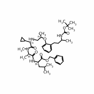 CC(C)C[C@@H](NC(=O)[C@@H](C)N(C)C(=O)[C@@H](NC[C@@H](C)Oc1ccccc1CCC(C)NC(=O)OC(C)(C)C)C1CC1)C(=O)OCc1ccccc1